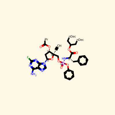 C#C[C@]1(CO[P@@](=O)(N[C@@H](Cc2ccccc2)C(=O)OC(CCCCCCCCCCC)CCCCCCCCCCC)Oc2ccccc2)O[C@@H](n2cnc3c(N)nc(F)nc32)C[C@@H]1OC(=O)C(C)C